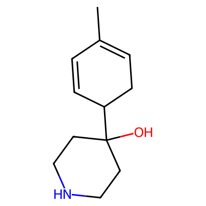 CC1=CCC(C2(O)CCNCC2)C=C1